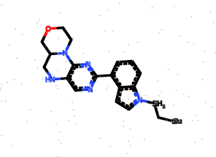 CC(C)(C)C[SiH2]n1ccc2c(-c3ncc4c(n3)N3CCOCC3CN4)cccc21